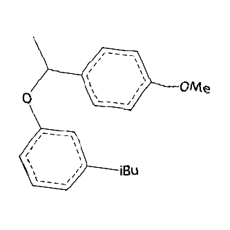 CCC(C)c1cccc(OC(C)c2ccc(OC)cc2)c1